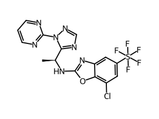 C[C@H](Nc1nc2cc(S(F)(F)(F)(F)F)cc(Cl)c2o1)c1ncnn1-c1ncccn1